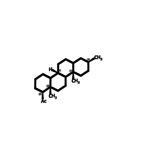 CC(=O)[C@H]1CCCC2[C@@H]3CCC4C[C@@H](C)CC[C@]4(C)C3CC[C@@]21C